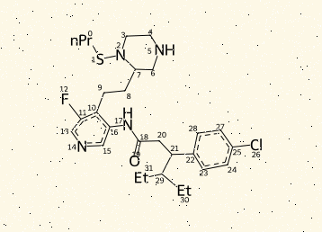 CCCSN1CCNCC1CCc1c(F)cncc1NC(=O)CC(c1ccc(Cl)cc1)C(CC)CC